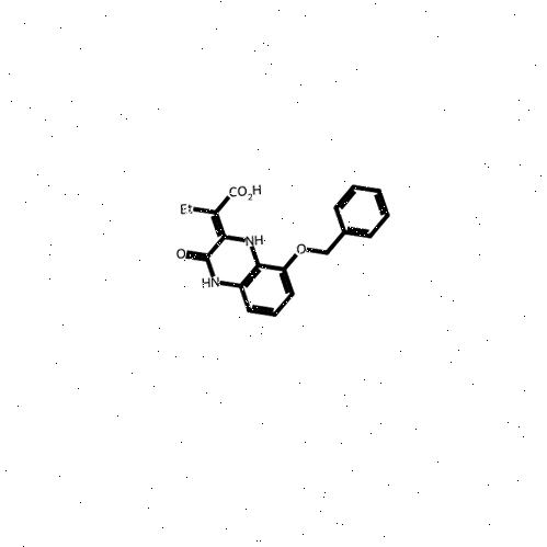 CC/C(C(=O)O)=C1/Nc2c(cccc2OCc2ccccc2)NC1=O